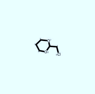 ClCC1OCCCO1